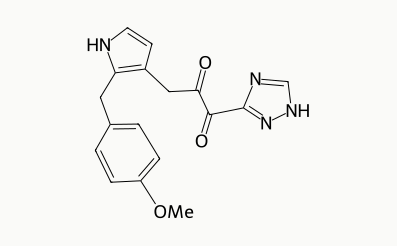 COc1ccc(Cc2[nH]ccc2CC(=O)C(=O)c2nc[nH]n2)cc1